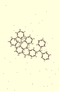 c1ccc(N(c2ccccc2)c2ccc3c(c2)B2c4ccccc4[Si](c4ccccc4)(c4ccccc4)c4cccc(c42)S3)cc1